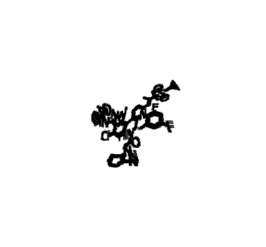 C/C(=C\c1ccc(-c2ccc(Cl)c3c(NS(C)(=O)=O)nn(C)c23)c([C@H](Cc2cc(F)cc(F)c2)NC(=O)Cn2nnc3ccccc32)n1)C(C)(C)S(=O)(=O)C1CC1